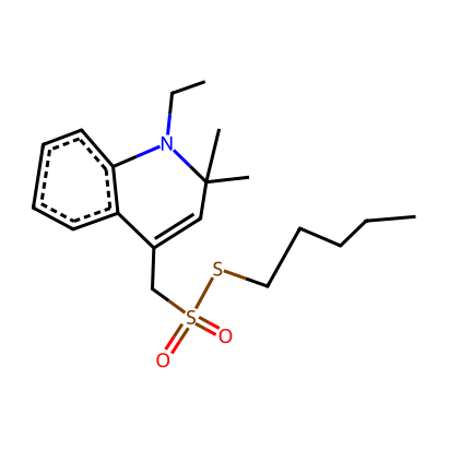 CCCCCSS(=O)(=O)CC1=CC(C)(C)N(CC)c2ccccc21